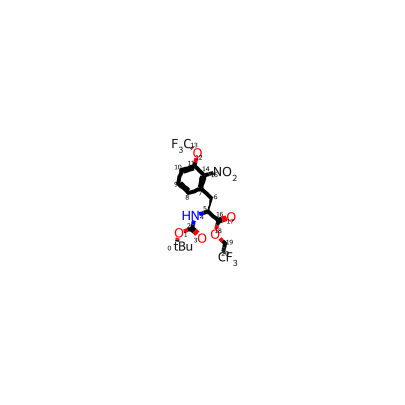 CC(C)(C)OC(=O)N[C@@H](Cc1cccc(OC(F)(F)F)c1[N+](=O)[O-])C(=O)OCC(F)(F)F